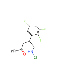 CCCC(=O)CC(CNCl)c1cc(F)cc(F)c1F